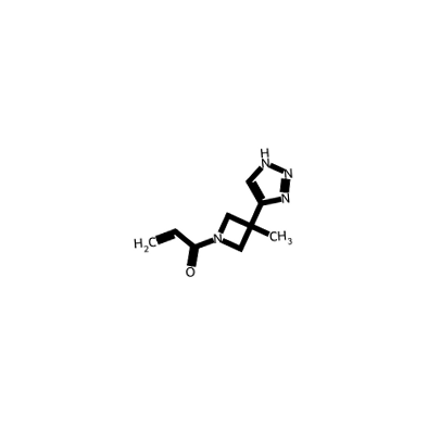 C=CC(=O)N1CC(C)(c2c[nH]nn2)C1